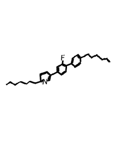 CCCCCCCc1ccc(-c2ccc(-c3ccc(CCCCCC)cc3)c(F)c2)cn1